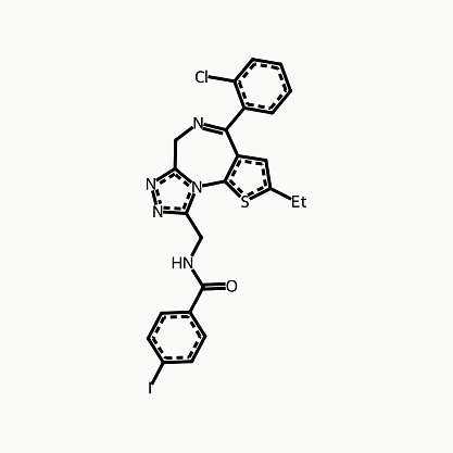 CCc1cc2c(s1)-n1c(nnc1CNC(=O)c1ccc(I)cc1)CN=C2c1ccccc1Cl